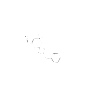 CN(c1ccccc1)C1CC2(Cc3cnoc3C(C)(C)C2)C1